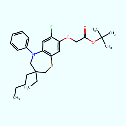 CCCCC1(CC)CSc2cc(OCC(=O)OC(C)(C)C)c(F)cc2N(c2ccccc2)C1